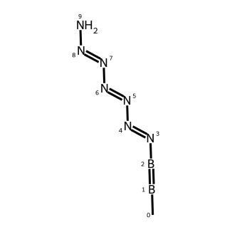 CB=BN=NN=NN=NN